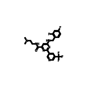 CN(C)CCNC(=O)c1cc(NCc2ccc(F)cc2F)nc(-c2cncc(C(F)(F)F)c2)n1